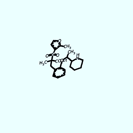 CCOC(=O)C(C)(Cc1ccccc1OC(C)C1CCCCN1)S(=O)(=O)c1ccoc1C